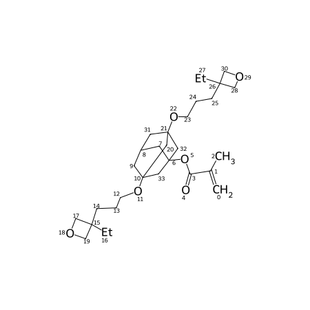 C=C(C)C(=O)OC12CC3CC(OCCCC4(CC)COC4)(CC(OCCCC4(CC)COC4)(C3)C1)C2